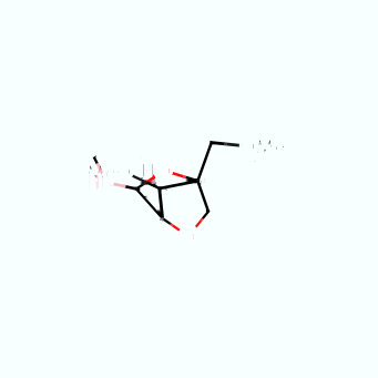 CBC1OC2(COC)COC1[C@H]2OC